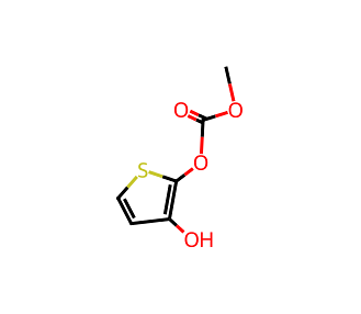 COC(=O)Oc1sccc1O